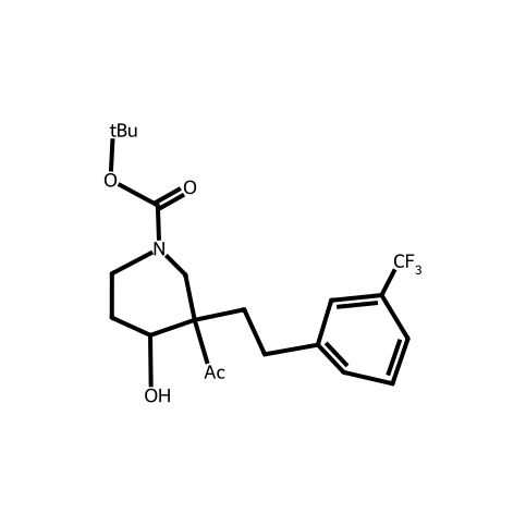 CC(=O)C1(CCc2cccc(C(F)(F)F)c2)CN(C(=O)OC(C)(C)C)CCC1O